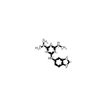 CNc1nc(Nc2ccc3c(c2)OCO3)nc(N(C)C)n1